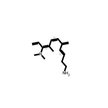 C=C/C(=C(C)\C=C/C(=C)/C=C/CCN)N(C)C